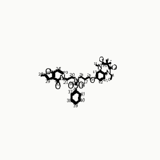 CCN1C(=O)C(C)(C)C(=O)N(C)c2cc(OCCCN(CCn3ccc4oc(C)cc4c3=O)S(=O)(=O)c3ccccc3)ccc21